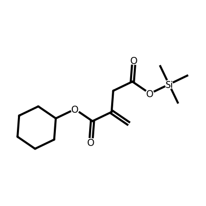 C=C(CC(=O)O[Si](C)(C)C)C(=O)OC1CCCCC1